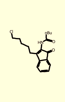 CCCCC(=O)NC1=C(CCCCCCl)c2ccccc2C1=O